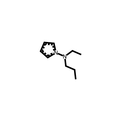 CCCN(CC)n1cccc1